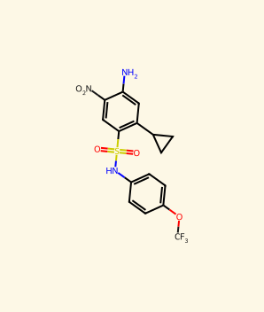 Nc1cc(C2CC2)c(S(=O)(=O)Nc2ccc(OC(F)(F)F)cc2)cc1[N+](=O)[O-]